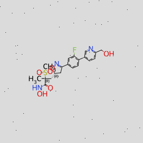 C[C@@](C[C@H]1CC(c2ccc(-c3ccc(CO)nc3)c(F)c2)=NO1)(C(=O)NO)S(C)(=O)=O